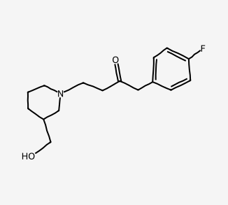 O=C(CCN1CCCC(CO)C1)Cc1ccc(F)cc1